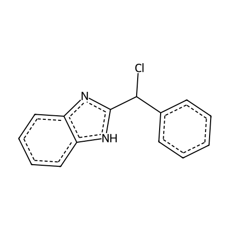 ClC(c1ccccc1)c1nc2ccccc2[nH]1